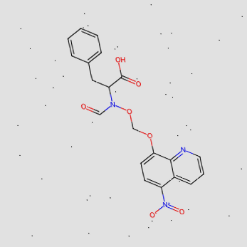 O=CN(OCOc1ccc([N+](=O)[O-])c2cccnc12)C(Cc1ccccc1)C(=O)O